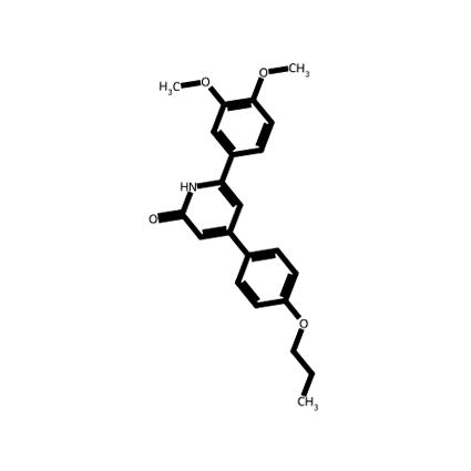 CCCOc1ccc(-c2cc(-c3ccc(OC)c(OC)c3)[nH]c(=O)c2)cc1